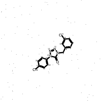 O=c1n(Cc2cccc(Cl)c2)nnn1-c1ccc(Cl)cc1